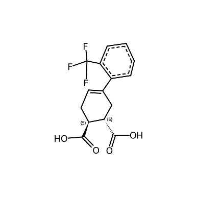 O=C(O)[C@H]1CC=C(c2ccccc2C(F)(F)F)C[C@@H]1C(=O)O